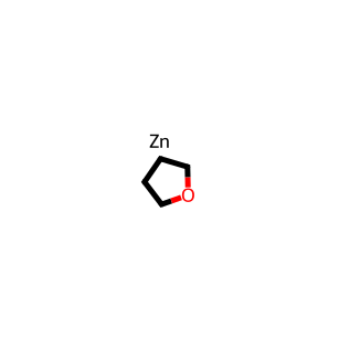 C1CCOC1.[Zn]